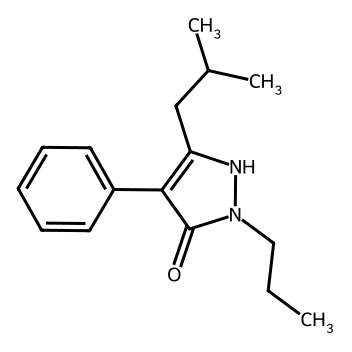 CCCn1[nH]c(CC(C)C)c(-c2ccccc2)c1=O